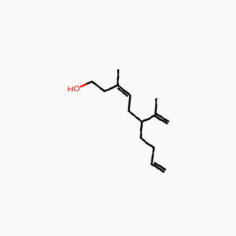 C=CCCC(CC=C(C)CCO)C(=C)C